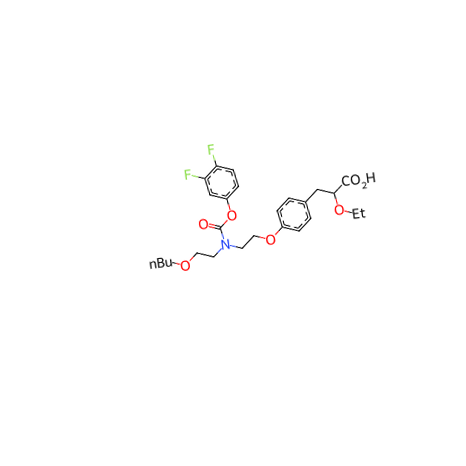 CCCCOCCN(CCOc1ccc(CC(OCC)C(=O)O)cc1)C(=O)Oc1ccc(F)c(F)c1